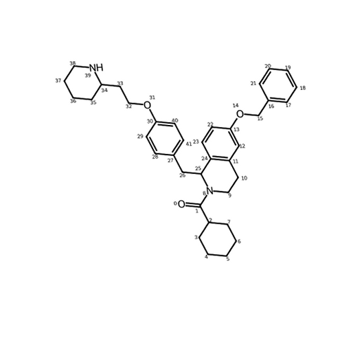 O=C(C1CCCCC1)N1CCc2cc(OCc3ccccc3)ccc2C1Cc1ccc(OCCC2CCCCN2)cc1